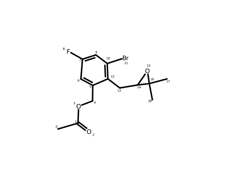 CC(=O)OCc1cc(F)cc(Br)c1CC1OC1(C)C